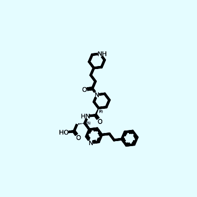 O=C(O)C[C@H](NC(=O)[C@@H]1CCCN(C(=O)CCC2CCNCC2)C1)c1cncc(CCc2ccccc2)c1